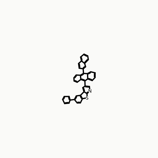 c1ccc(-c2ccc3sc4ncc(-c5c6ccccc6c(-c6ccc7ccccc7c6)c6ccccc56)cc4c3c2)cc1